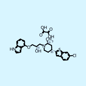 C[C@H]1C[C@H](c2cc3ccc(Cl)cc3s2)CCN1C[C@H](O)COc1cccc2[nH]ccc12.O=C(O)C(=O)O